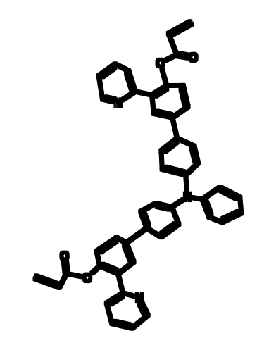 C=CC(=O)Oc1ccc(-c2ccc(N(c3ccccc3)c3ccc(-c4ccc(OC(=O)C=C)c(-c5ccccn5)c4)cc3)cc2)cc1-c1ccccn1